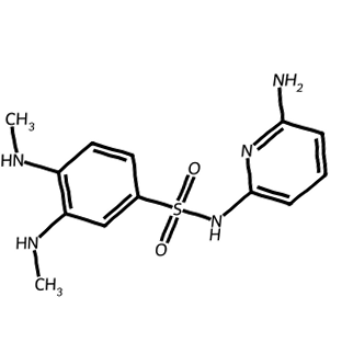 CNc1ccc(S(=O)(=O)Nc2cccc(N)n2)cc1NC